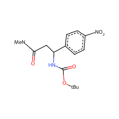 CNC(=O)CC(NC(=O)OC(C)(C)C)c1ccc([N+](=O)[O-])cc1